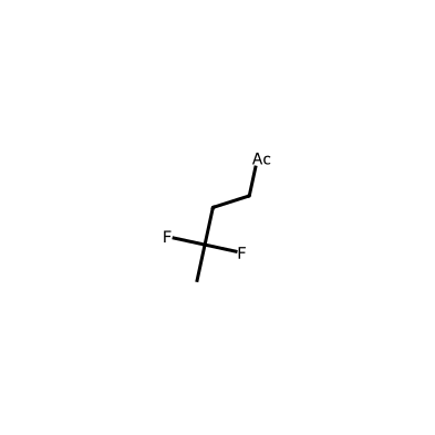 CC(=O)CCC(C)(F)F